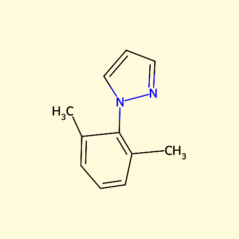 Cc1cccc(C)c1-n1cccn1